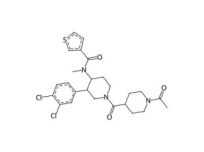 CC(=O)N1CCC(C(=O)N2CCC(N(C)C(=O)c3ccsc3)C(c3ccc(Cl)c(Cl)c3)C2)CC1